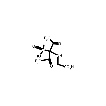 O=C(O)CNC(C(=O)C(F)(F)F)(C(=O)C(F)(F)F)P(=O)(O)O